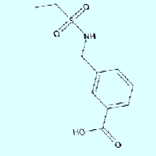 CCS(=O)(=O)NCc1cccc(C(=O)O)c1